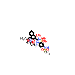 CCCC1(N(OC)C(C)=O)C(=O)C(C2=NS(O)(O)c3cc(NS(C)(=O)=O)ccc3N2)=C(O)c2ccccc21